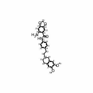 COc1cc2c(cc1OC)CN(CCc1ccc(NC(=O)c3cc4c(cc3N)OCO4)cc1)CC2